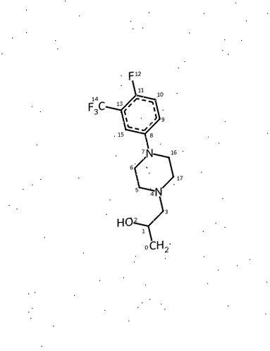 [CH2]C(O)CN1CCN(c2ccc(F)c(C(F)(F)F)c2)CC1